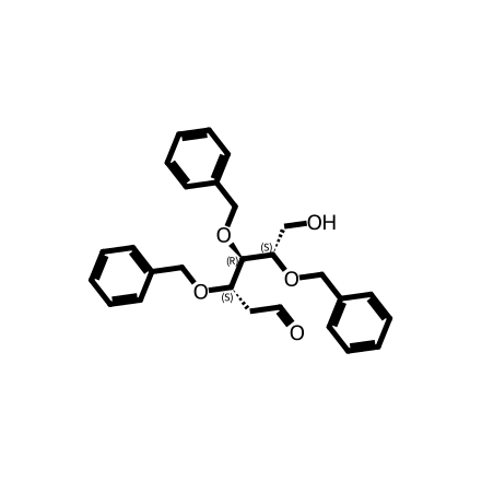 O=CC[C@H](OCc1ccccc1)[C@@H](OCc1ccccc1)[C@H](CO)OCc1ccccc1